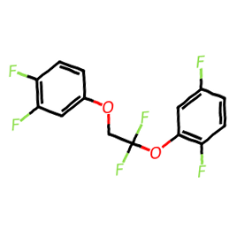 Fc1ccc(F)c(OC(F)(F)COc2ccc(F)c(F)c2)c1